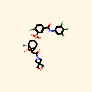 C[C@H]1CC2C[C@@H](S(=O)(=O)c3cc(C(=O)Nc4cc(F)c(F)c(F)c4)ccc3Cl)C[C@H]1[C@@]2(O)CC(=O)N1CC2(COC2)C1